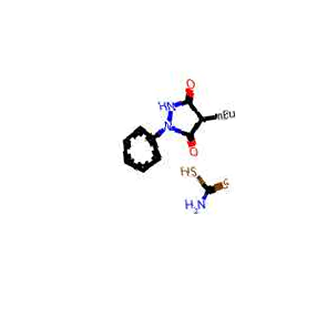 CCCCC1C(=O)NN(c2ccccc2)C1=O.NC(=S)S